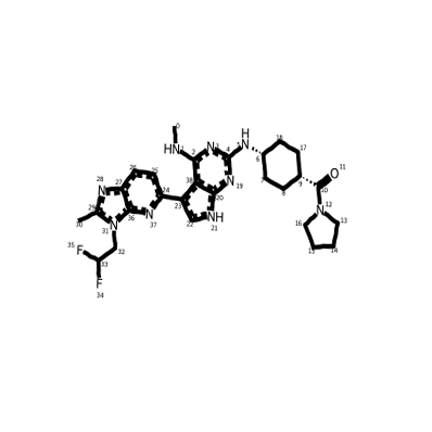 CNc1nc(N[C@H]2CC[C@@H](C(=O)N3CCCC3)CC2)nc2[nH]cc(-c3ccc4nc(C)n(CC(F)F)c4n3)c12